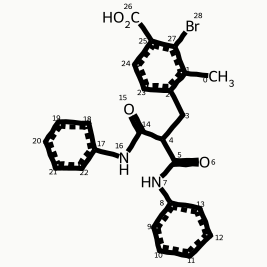 Cc1c(CC(C(=O)Nc2ccccc2)C(=O)Nc2ccccc2)ccc(C(=O)O)c1Br